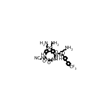 C[C@@H]1NC(=O)[C@@H](N(C)C(=O)[C@H](CCCCN)NC(=O)c2ccc(-c3ccc(C(F)(F)F)cc3)cc2)c2ccc(OCCN)c(c2)-c2cc(ccc2OCCN)C[C@@H](C(=O)NCC#N)NC1=O